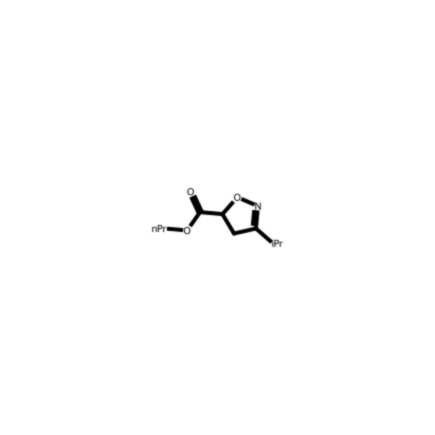 CCCOC(=O)C1CC(C(C)C)=NO1